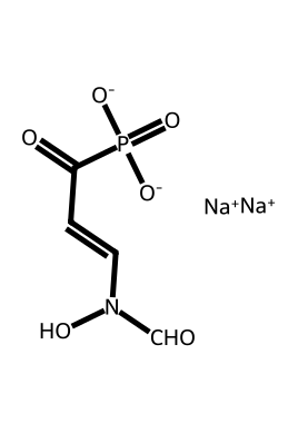 O=CN(O)C=CC(=O)P(=O)([O-])[O-].[Na+].[Na+]